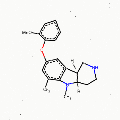 COc1ccccc1Oc1cc2c(c(C(F)(F)F)c1)N(C)[C@@H]1CCNC[C@H]21